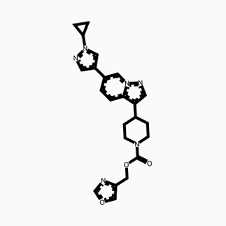 O=C(OCc1cocn1)N1CCC(c2cnn3cc(-c4cnn(C5CC5)c4)ccc23)CC1